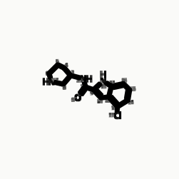 O=C(NC1CCCNC1)c1cc2c(Cl)cccc2[nH]1